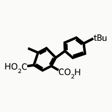 Cc1cc(-c2ccc(C(C)(C)C)cc2)c(C(=O)O)cc1C(=O)O